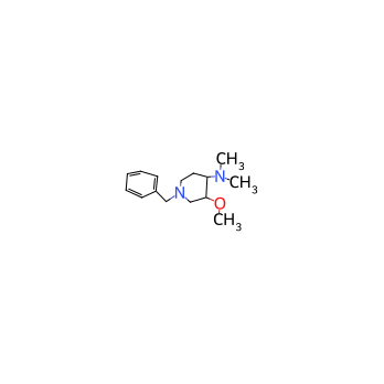 COC1CN(Cc2ccccc2)CCC1N(C)C